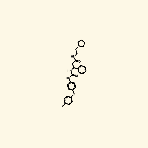 N=C(Nc1ccc(Oc2ccc(F)cc2)cc1)NC(CC(=O)NCCN1CCCC1)c1ccccc1